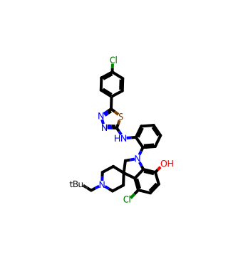 CC(C)(C)CN1CCC2(CC1)CN(c1ccccc1Nc1nnc(-c3ccc(Cl)cc3)s1)c1c(O)ccc(Cl)c12